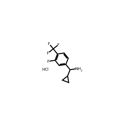 Cl.NC(c1ccc(C(F)(F)F)c(F)c1)C1CC1